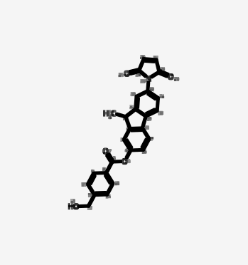 CC1c2cc(OC(=O)c3ccc(CO)cc3)ccc2-c2ccc(N3C(=O)C=CC3=O)cc21